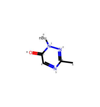 CCCCn1nc(C)ncc1=O